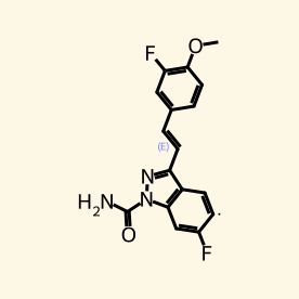 COc1ccc(/C=C/c2nn(C(N)=O)c3cc(F)[c]cc23)cc1F